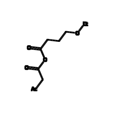 CCOCCCC(=O)OC(=O)CC(C)=O